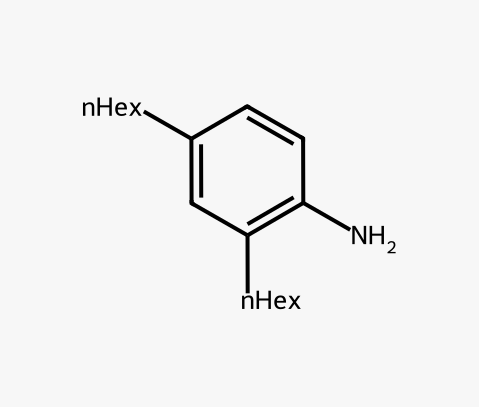 CCCCCCc1ccc(N)c(CCCCCC)c1